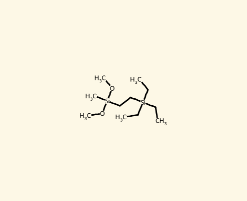 CC[Si](CC)(CC)CC[Si](C)(OC)OC